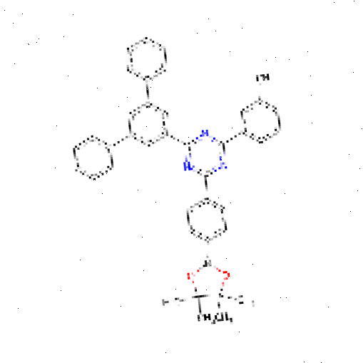 CC1(C)OB(c2ccc(-c3nc(-c4cccc(C#N)c4)nc(-c4cc(-c5ccccc5)cc(-c5ccccc5)c4)n3)cc2)OC1(C)C